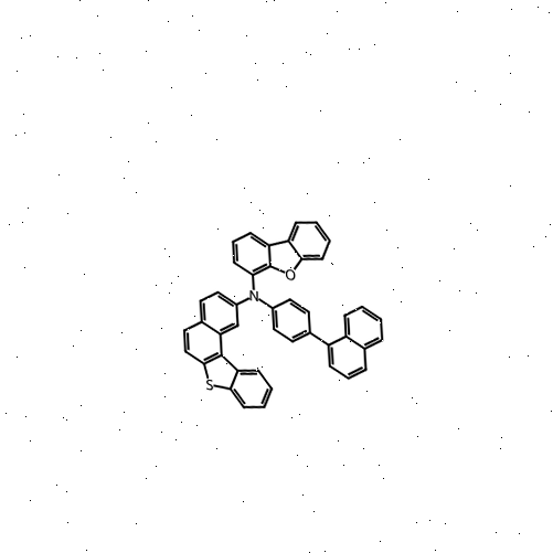 c1ccc2c(-c3ccc(N(c4ccc5ccc6sc7ccccc7c6c5c4)c4cccc5c4oc4ccccc45)cc3)cccc2c1